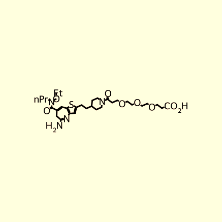 CCCN(OCC)C(=O)C1=Cc2sc(CCC3CCN(C(=O)CCOCCOCCOCCC(=O)O)CC3)cc2N=C(N)C1